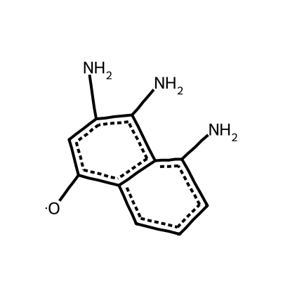 Nc1cc([O])c2cccc(N)c2c1N